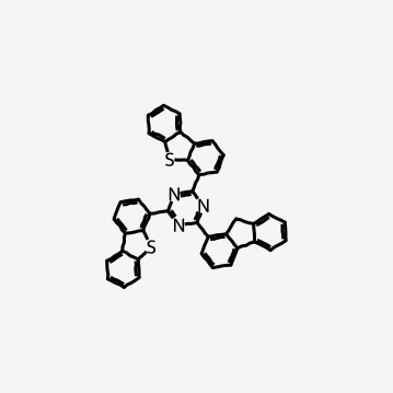 c1ccc2c(c1)Cc1c(-c3nc(-c4cccc5c4sc4ccccc45)nc(-c4cccc5c4sc4ccccc45)n3)cccc1-2